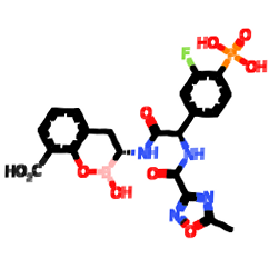 Cc1nc(C(=O)N[C@@H](C(=O)N[C@H]2Cc3cccc(C(=O)O)c3OB2O)c2ccc(P(=O)(O)O)c(F)c2)no1